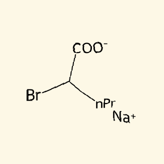 CCCC(Br)C(=O)[O-].[Na+]